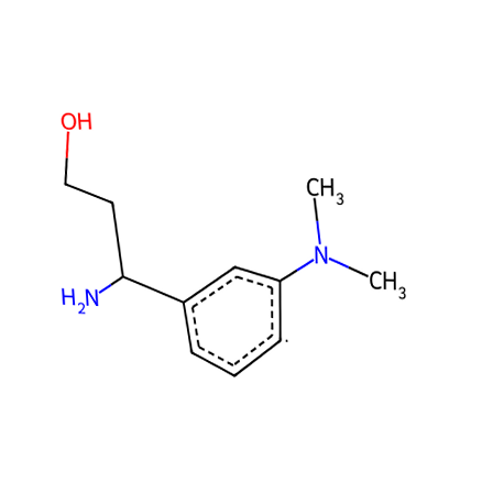 CN(C)c1[c]ccc(C(N)CCO)c1